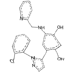 Oc1cc(O)c(-c2ccnn2-c2ccccc2Cl)cc1NCc1ccccn1